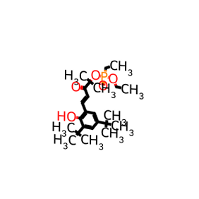 CCOP(=O)(CC)OC(C)(C)C(=O)C=Cc1cc(C(C)(C)C)cc(C(C)(C)C)c1O